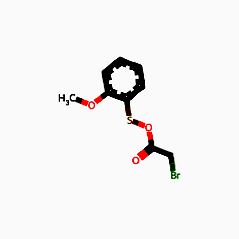 COc1ccccc1SOC(=O)CBr